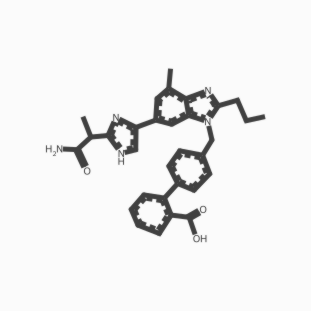 CCCc1nc2c(C)cc(-c3c[nH]c(C(C)C(N)=O)n3)cc2n1Cc1ccc(-c2ccccc2C(=O)O)cc1